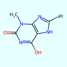 CC(C)c1nc2c([nH]1)c(O)nc(=O)n2C